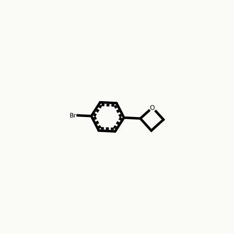 Brc1ccc(C2CCO2)cc1